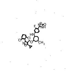 C=C1CCC(Nc2ccc(-c3noc(=O)[nH]3)c(F)c2)CC(OCc2c(-c3c(Cl)cccc3Cl)noc2C2CC2)C1